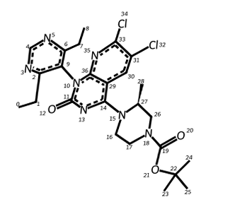 CCc1ncnc(CC)c1-n1c(=O)nc(N2CCN(C(=O)OC(C)(C)C)C[C@@H]2C)c2cc(Cl)c(Cl)nc21